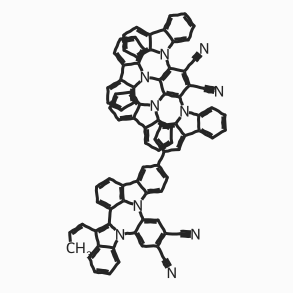 C/C=C\c1c2ccccc2n2c3cc(C#N)c(C#N)cc3n3c4ccc(-c5ccc6c(c5)c5ccccc5n6-c5c(C#N)c(C#N)c(-n6c7ccccc7c7ccccc76)c(-n6c7ccccc7c7ccccc76)c5-n5c6ccccc6c6ccccc65)cc4c4cccc(c12)c43